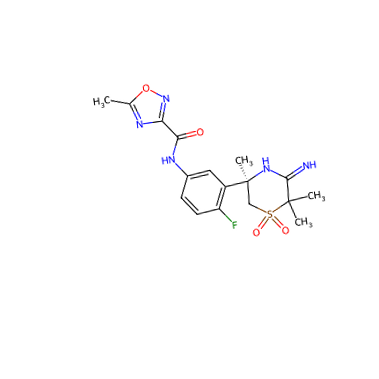 Cc1nc(C(=O)Nc2ccc(F)c([C@]3(C)CS(=O)(=O)C(C)(C)C(=N)N3)c2)no1